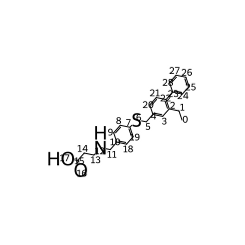 CCc1cc(CSc2ccc(CNCCC(=O)O)cc2)ccc1-c1ccccc1